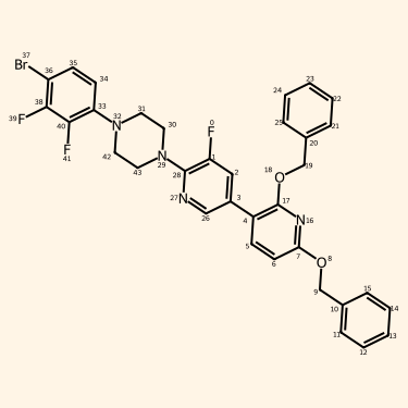 Fc1cc(-c2ccc(OCc3ccccc3)nc2OCc2ccccc2)cnc1N1CCN(c2ccc(Br)c(F)c2F)CC1